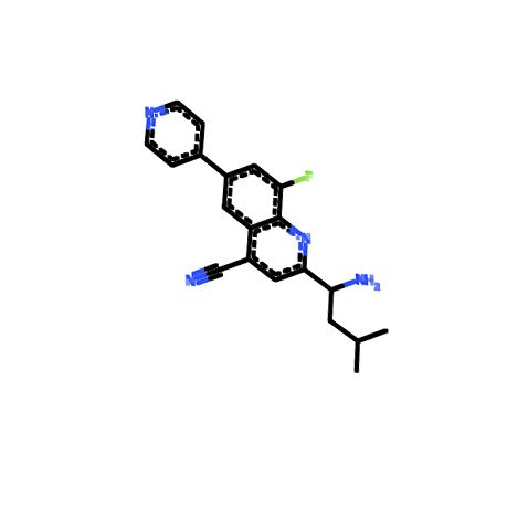 CC(C)CC(N)c1cc(C#N)c2cc(-c3ccncc3)cc(F)c2n1